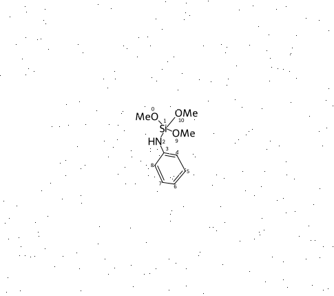 CO[Si](Nc1ccccc1)(OC)OC